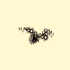 [2H]C([2H])([2H])C([2H])(C([2H])([2H])[2H])C([2H])([2H])N(C[C@@H](O)[C@H](Cc1ccccc1)NC(=O)OC(C)(C)C)S(=O)(=O)c1ccc2nc(N)sc2c1